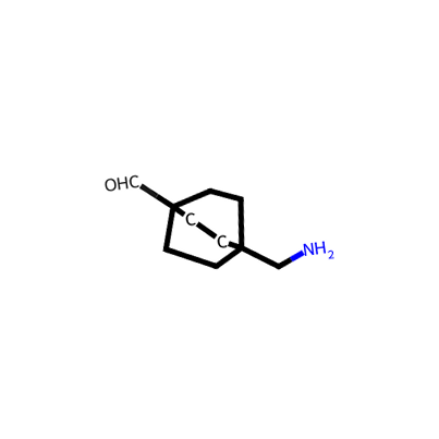 NCC12CCC(C=O)(CC1)CC2